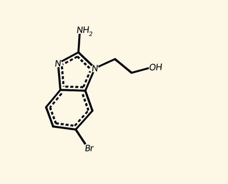 Nc1nc2ccc(Br)cc2n1CCO